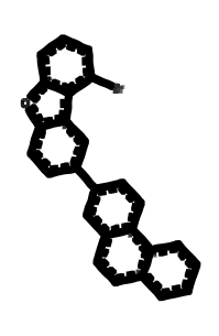 Brc1cccc2oc3ccc(-c4ccc5c(ccc6ccccc65)c4)cc3c12